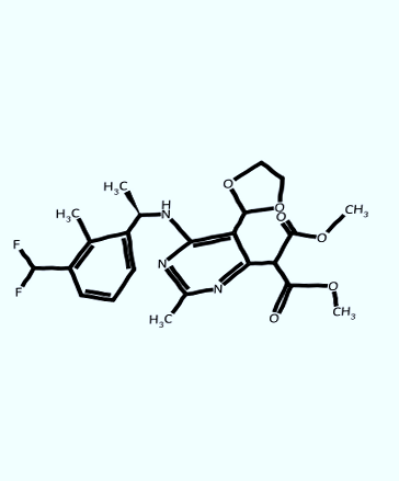 COC(=O)C(C(=O)OC)c1nc(C)nc(N[C@H](C)c2cccc(C(F)F)c2C)c1C1OCCO1